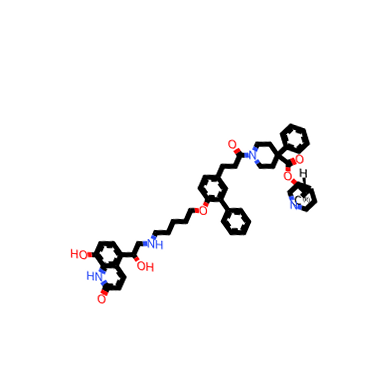 O=C(CCc1ccc(OCCCCCNCC(O)c2ccc(O)c3[nH]c(=O)ccc23)c(-c2ccccc2)c1)N1CCC(C(=O)O[C@H]2CN3CCC2CC3)(c2ccccc2)CC1